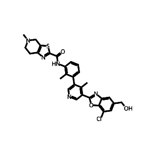 Cc1c(NC(=O)c2nc3c(s2)CN(C)CC3)cccc1-c1cncc(-c2nc3cc(CO)cc(Cl)c3o2)c1C